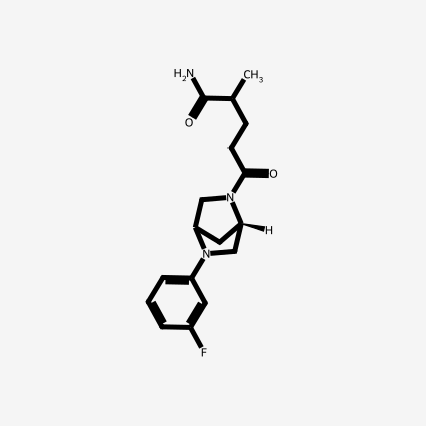 CC(C[CH]C(=O)N1CC2C[C@H]1CN2c1cccc(F)c1)C(N)=O